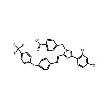 O=[N+]([O-])c1ccc(Cn2cc(-c3ccc(Cl)cc3Cl)nc2C=Cc2ccc(Oc3ccc(C(F)(F)F)cc3)cc2)cc1